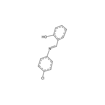 Oc1ccccc1C=Nc1ccc(Cl)cc1